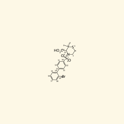 CC1(C)SCCN(S(=O)(=O)c2ccc(-c3ccccc3Br)cc2)C1C(=O)O